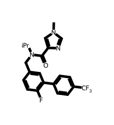 CC(C)N(Cc1ccc(F)c(-c2ccc(C(F)(F)F)cc2)c1)C(=O)c1cn(C)cn1